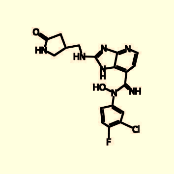 N=C(c1ccnc2nc(NCC3CNC(=O)C3)[nH]c12)N(O)c1ccc(F)c(Cl)c1